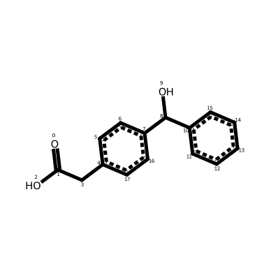 O=C(O)Cc1ccc(C(O)c2ccccc2)cc1